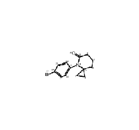 O=C1CCCC2(CC2)N1c1ccc(Br)cc1